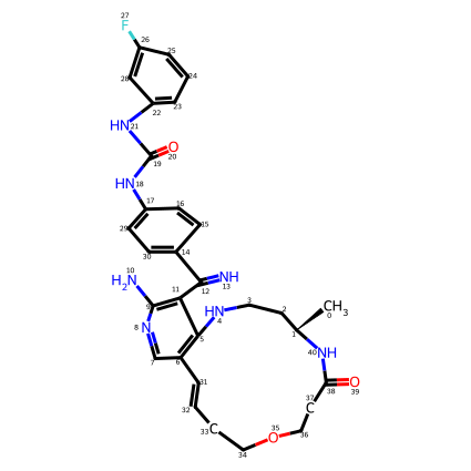 C[C@@H]1CCNc2c(cnc(N)c2C(=N)c2ccc(NC(=O)Nc3cccc(F)c3)cc2)/C=C/CCOCCC(=O)N1